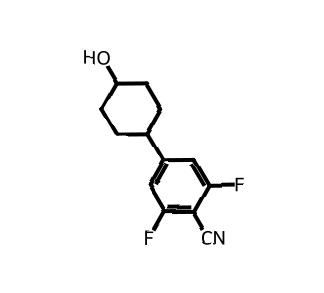 N#Cc1c(F)cc(C2CCC(O)CC2)cc1F